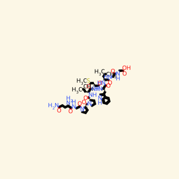 CSCC[C@H](NC(=O)[C@H](CC(C)C)NC(=O)[C@@H]1CCCN1C(=O)[C@@H]1CCCN1C(=O)CNC(=O)[C@@H](N)CCC(N)=O)C(=O)N[C@@H](Cc1c[nH]c2ccccc12)C(=O)N[C@@H](CC(C)C)C(=O)NCC(=O)NCC(=O)O